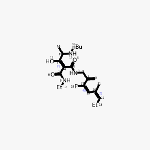 C=C(CNC(=O)/C(C(=O)NCC)=C(/O)C(C)NCCCC)/C(F)=C\C(C)=C/CC